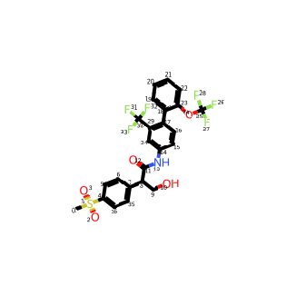 CS(=O)(=O)c1ccc(C(CO)C(=O)Nc2ccc(-c3ccccc3OC(F)(F)F)c(C(F)(F)F)c2)cc1